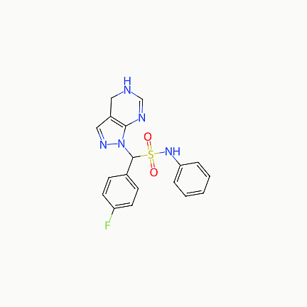 O=S(=O)(Nc1ccccc1)C(c1ccc(F)cc1)n1ncc2c1N=CNC2